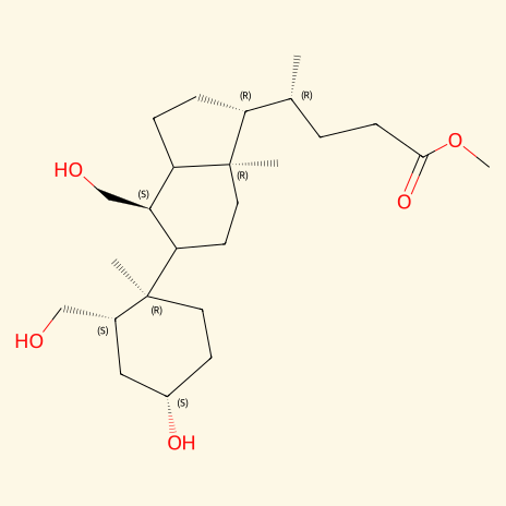 COC(=O)CC[C@@H](C)[C@H]1CCC2[C@H](CO)C([C@@]3(C)CC[C@H](O)C[C@@H]3CO)CC[C@@]21C